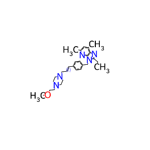 CCc1nc2c(C)cc(C)nc2n1Cc1ccc(/C=C/CN2CCN(CCOC)CC2)cc1